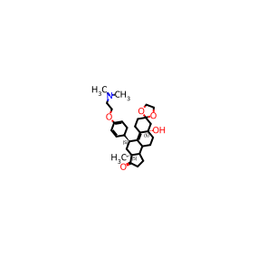 CN(C)CCOC1=CCC([C@@H]2C[C@]3(C)C(=O)CCC3C3CC[C@]4(O)CC5(CCC4=C32)OCCO5)C=C1